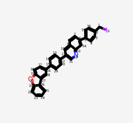 ICc1ccc(-c2ccc3cc(-c4ccc(-c5ccc6oc7ccccc7c6c5)cc4)cnc3c2)cc1